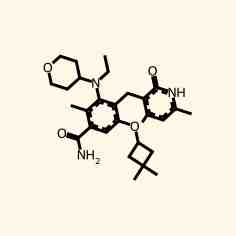 CCN(c1c(C)c(C(N)=O)cc(OC2CC(C)(C)C2)c1Cc1c(C)cc(C)[nH]c1=O)C1CCOCC1